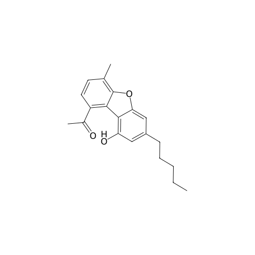 CCCCCc1cc(O)c2c(c1)oc1c(C)ccc(C(C)=O)c12